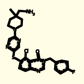 CC1(CN)CCN(c2cnc(Sc3ccc4ncn(Cc5ccc(F)cc5)c(=O)c4c3Cl)cn2)CC1